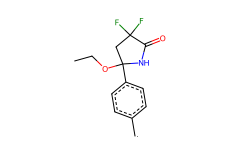 [CH2]c1ccc(C2(OCC)CC(F)(F)C(=O)N2)cc1